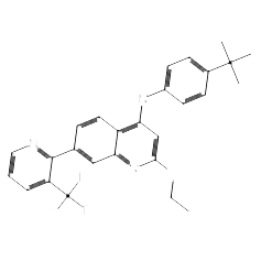 CCOc1cc(Nc2ccc(C(C)(C)C)cc2)c2ccc(-c3ncccc3C(F)(F)F)cc2n1